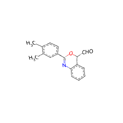 Cc1ccc(C2=Nc3ccccc3C(C=O)O2)cc1C